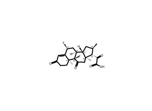 C[C@@H]1C[C@H]2[C@@H]3C[C@H](F)C4=CC(=O)CC[C@]4(C)[C@@]3(F)C(=O)C[C@]2(C)[C@H]1C(=O)C(=O)O